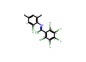 Cc1cc(C)c(/N=C(\Cl)c2c(F)c(F)c(F)c(F)c2F)c(Cl)c1